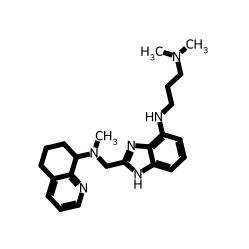 CN(C)CCCNc1cccc2[nH]c(CN(C)C3CCCc4cccnc43)nc12